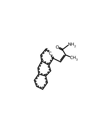 CC(=Cc1cccc2cc3ccccc3cc12)C(N)=O